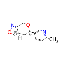 Cc1ccc([C@H]2C[C@H]3CON=C3CO2)cn1